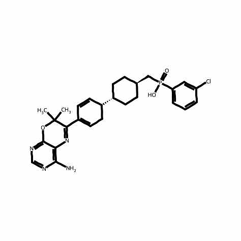 CC1(C)Oc2ncnc(N)c2N=C1C1=CCC([C@H]2CC[C@H](CP(=O)(O)c3cccc(Cl)c3)CC2)C=C1